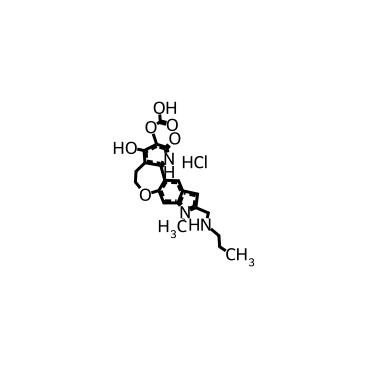 CCCNCc1cc2cc3c(cc2n1C)OCCc1c-3[nH]c(=O)c(OC(=O)O)c1O.Cl